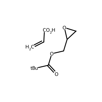 C=CC(=O)O.CC(C)(C)C(=O)OCC1CO1